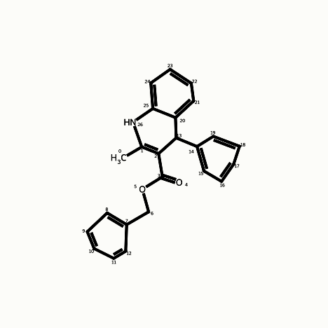 CC1=C(C(=O)OCc2ccccc2)C(c2ccccc2)c2ccccc2N1